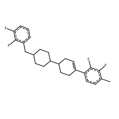 Cc1ccc(C2=CCC(C3CCC(Cc4cccc(F)c4F)CC3)CC2)c(F)c1F